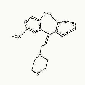 O=C(O)c1ccc2c(c1)C(=CCN1CCSCC1)c1ccccc1CO2